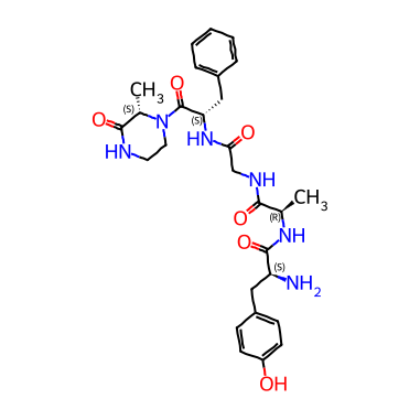 C[C@@H](NC(=O)[C@@H](N)Cc1ccc(O)cc1)C(=O)NCC(=O)N[C@@H](Cc1ccccc1)C(=O)N1CCNC(=O)[C@@H]1C